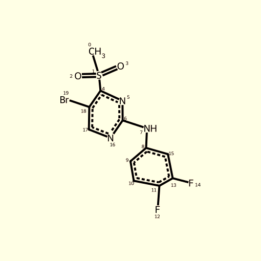 CS(=O)(=O)c1nc(Nc2ccc(F)c(F)c2)ncc1Br